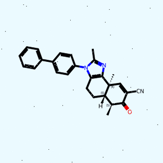 Cc1nc2c(n1-c1ccc(-c3ccccc3)cc1)CC[C@H]1[C@H](C)C(=O)C(C#N)=C[C@]21C